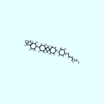 CCCC[C@H]1CC[C@H](C2CCC3(CC2)CC2(CCC([C@H]4CC[C@H](CC)CC4)CC2)C3)CC1